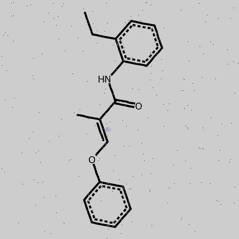 CCc1ccccc1NC(=O)/C(C)=C/Oc1ccccc1